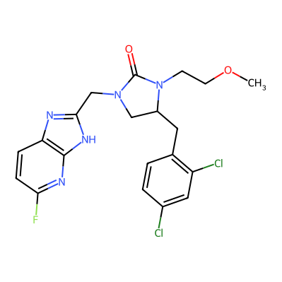 COCCN1C(=O)N(Cc2nc3ccc(F)nc3[nH]2)CC1Cc1ccc(Cl)cc1Cl